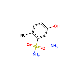 N.N#Cc1ccc(O)cc1S(N)(=O)=O